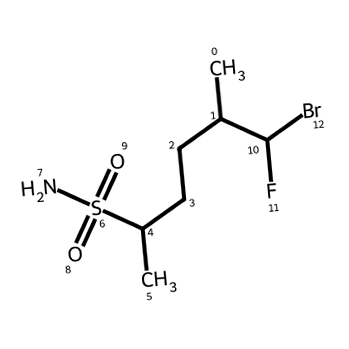 CC(CCC(C)S(N)(=O)=O)C(F)Br